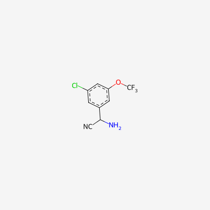 N#CC(N)c1cc(Cl)cc(OC(F)(F)F)c1